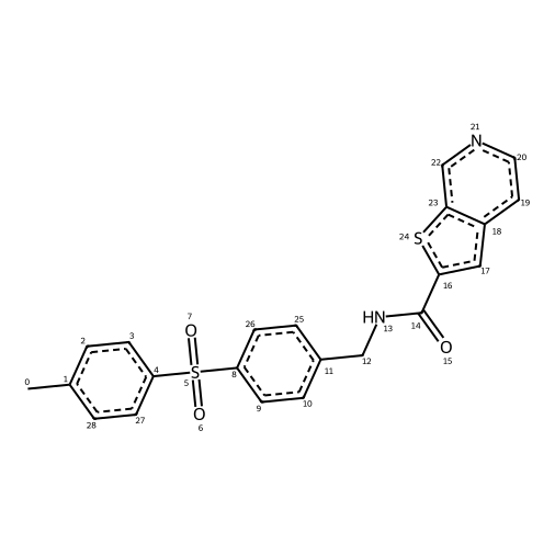 Cc1ccc(S(=O)(=O)c2ccc(CNC(=O)c3cc4ccncc4s3)cc2)cc1